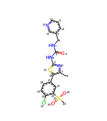 Cc1nc(NC(=O)NCc2cccnc2)sc1-c1ccc(Cl)c(S(C)(=O)=O)c1